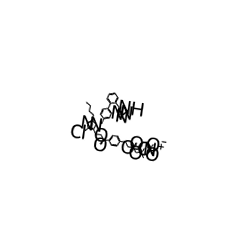 CCCCc1nc(Cl)c(COC(=O)c2ccc(COC(=O)OC(C)O[N+](=O)[O-])cc2)n1Cc1ccc(-c2ccccc2-c2nnn[nH]2)cc1